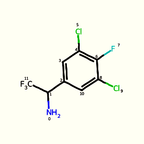 NC(c1cc(Cl)c(F)c(Cl)c1)C(F)(F)F